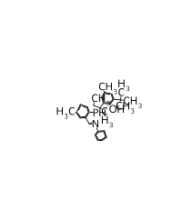 CCC(C)(Pc1ccc(C)cc1/C=N/c1ccccc1)c1cc(C)cc(C(C)(C)C)c1O